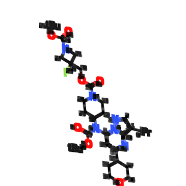 CC(C)c1cnn2c(N(C(=O)OC(C)(C)C)C3CCN(C(=O)OCC4(F)CN(C(=O)OC(C)(C)C)C4)CC3)cc(C3CCOCC3)nc12